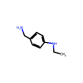 CCNc1ccc(CN)cc1